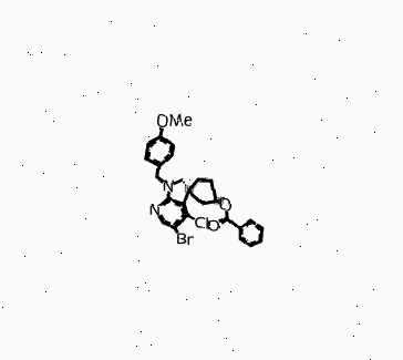 COc1ccc(CN2C[C@@]3(CC[C@@H](OC(=O)c4ccccc4)C3)c3c2ncc(Br)c3Cl)cc1